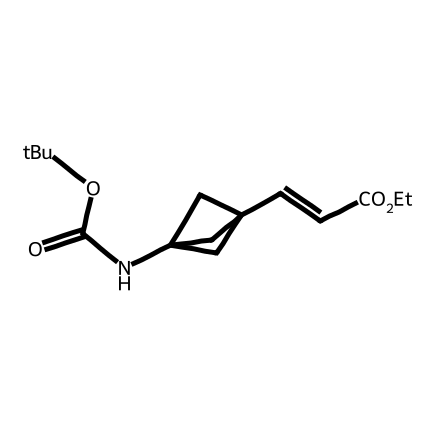 CCOC(=O)C=CC12CC(NC(=O)OC(C)(C)C)(C1)C2